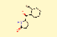 CCC(C)C1CCCCC1C(=O)C1CCC(=O)N1